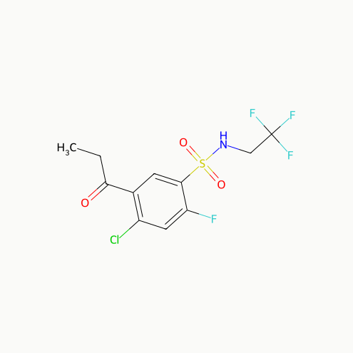 CCC(=O)c1cc(S(=O)(=O)NCC(F)(F)F)c(F)cc1Cl